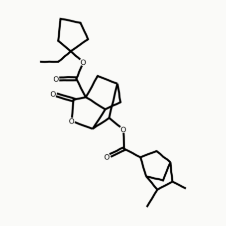 CCC1(OC(=O)C23CC4CC2C(OC3=O)C4OC(=O)C2CC3CC2C(C)C3C)CCCC1